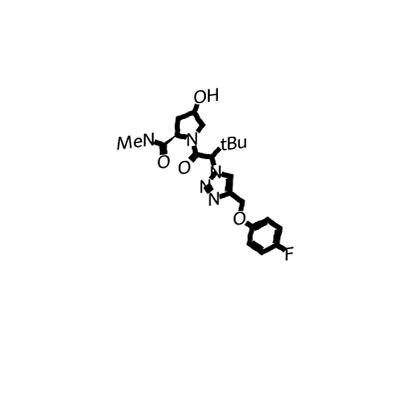 CNC(=O)[C@H]1CC(O)CN1C(=O)C(n1cc(COc2ccc(F)cc2)nn1)C(C)(C)C